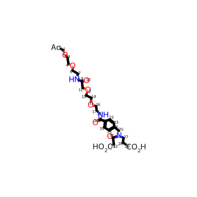 CC(=O)COCCOCCNC(=O)COCCOCCNC(=O)c1ccc(CN(CCC(=O)O)C(=O)CC(=O)O)cc1